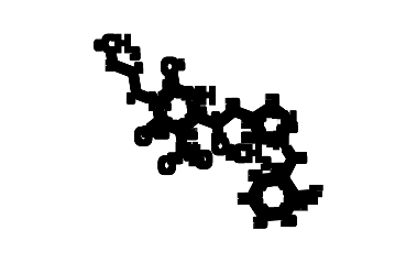 CCCCn1c(=O)[nH]c(C(Cc2cnn(Cc3ccccc3F)c2)OC)c([N+](=O)[O-])c1=O